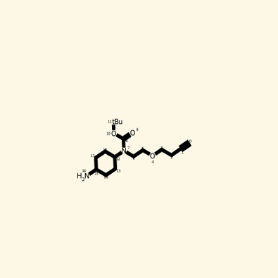 C#CCCOCCN(C(=O)OC(C)(C)C)C1CCC(N)CC1